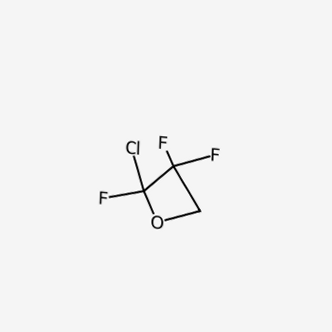 FC1(F)COC1(F)Cl